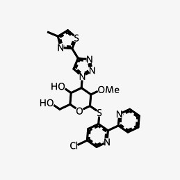 COC1C(Sc2cc(Cl)cnc2-c2ccccn2)OC(CO)C(O)C1n1cc(-c2nc(C)cs2)nn1